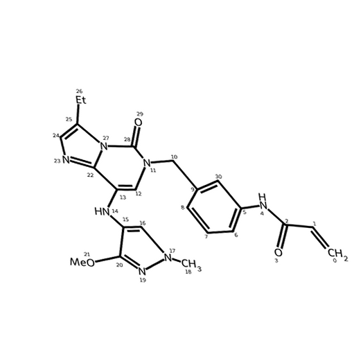 C=CC(=O)Nc1cccc(Cn2cc(Nc3cn(C)nc3OC)c3ncc(CC)n3c2=O)c1